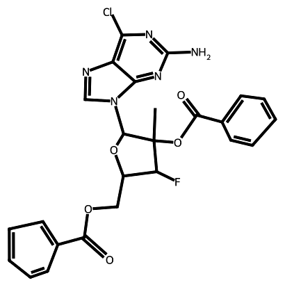 CC1(OC(=O)c2ccccc2)C(F)C(COC(=O)c2ccccc2)OC1n1cnc2c(Cl)nc(N)nc21